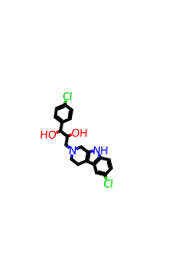 OC(CN1CCc2c([nH]c3ccc(Cl)cc23)C1)C(O)c1ccc(Cl)cc1